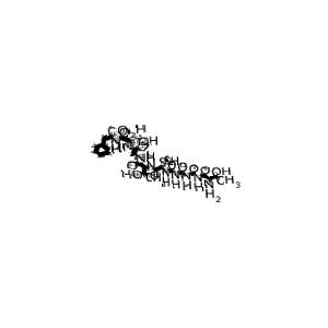 C[C@@H](O)C(N)C(=O)NC(=O)NC(=O)NC(=O)N[C@@H](SS)C(=O)N[C@H](C(=O)NCC(=O)N[C@@H](CO)C(=O)N[C@@H](Cc1ccccc1)C(=O)O)[C@@H](C)O